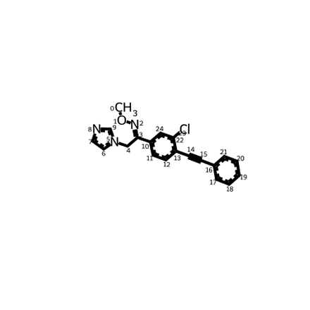 CO/N=C(\Cn1ccnc1)c1ccc(C#Cc2ccccc2)c(Cl)c1